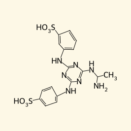 CC(N)Nc1nc(Nc2ccc(S(=O)(=O)O)cc2)nc(Nc2cccc(S(=O)(=O)O)c2)n1